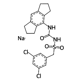 O=C(Nc1c2c(cc3c1CCC3)CCC2)NS(=O)(=O)Cc1cc(Cl)cc(Cl)c1.[Na]